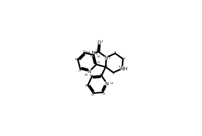 NC(=O)N1CCNCC1(c1ccccn1)c1ccccn1